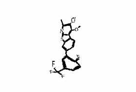 COc1c(Cl)c(C)nc2sc3cc(-c4cc(C(F)(F)F)ccc4F)ccc3c12